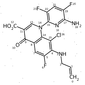 C=CCNc1c(F)cc2c(=O)c(C(=O)O)cn(-c3nc(N)c(F)cc3F)c2c1Cl